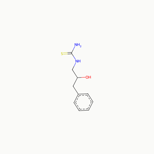 NC(=S)NCC(O)Cc1ccccc1